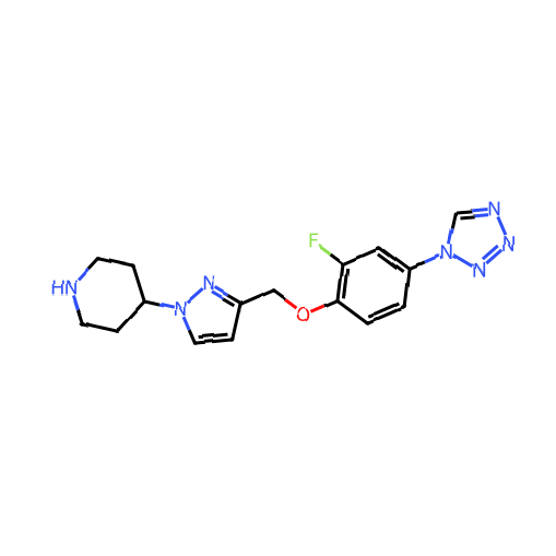 Fc1cc(-n2cnnn2)ccc1OCc1ccn(C2CCNCC2)n1